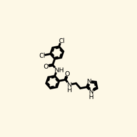 O=C(Nc1ccccc1C(=O)NCCc1ncc[nH]1)c1ccc(Cl)cc1Cl